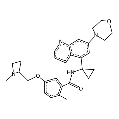 Cc1ccc(OCC2CCN2C)cc1C(=O)NC1(c2cc(N3CCOCC3)cc3ncccc23)CC1